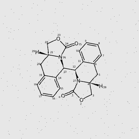 O=C1OC[C@H]2Cc3ccccc3[C@H]([C@H]3c4ccccc4C[C@@H]4COC(=O)N43)N12